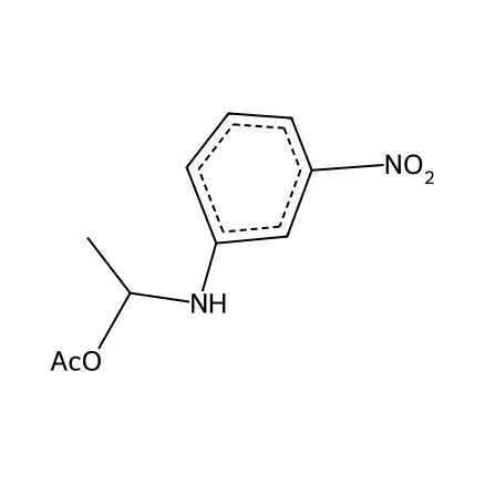 CC(=O)OC(C)Nc1cccc([N+](=O)[O-])c1